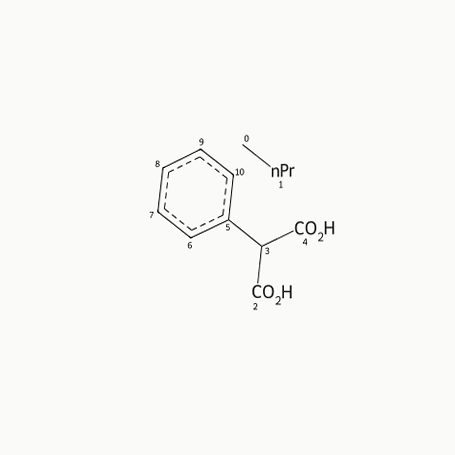 CCCC.O=C(O)C(C(=O)O)c1ccccc1